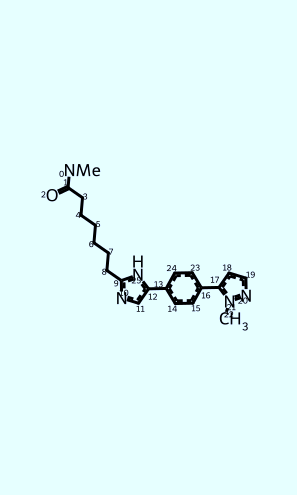 CNC(=O)CCCCCCc1ncc(-c2ccc(-c3ccnn3C)cc2)[nH]1